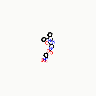 Cc1nc2c(c(=O)n1C(c1ccccc1)c1ccccc1)CN(C(=O)Oc1ccc([N+](=O)[O-])cc1)CC2